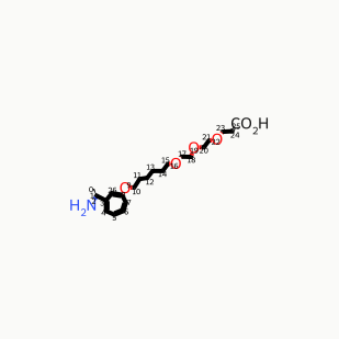 C[C@@H](N)C1=CC=C=CC(OCCCCCCOCCOCCOCCC(=O)O)=C1